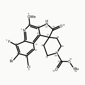 COc1nc2c(F)c(Br)c(Cl)cc2c2c1NC(=O)C21CCN(C(=O)OC(C)(C)C)CC1